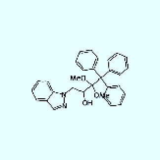 COC(OC)(C(O)Cn1ncc2ccccc21)C(c1ccccc1)(c1ccccc1)c1ccccc1